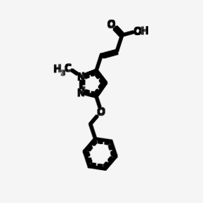 Cn1nc(OCc2ccccc2)cc1C=CC(=O)O